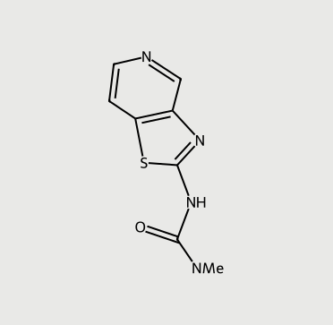 CNC(=O)Nc1nc2cnccc2s1